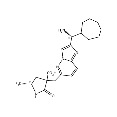 N[C@H](c1cn2nc(CC3(C(=O)O)C[C@@H](C(F)(F)F)NC3=O)ccc2n1)C1CCCCCC1